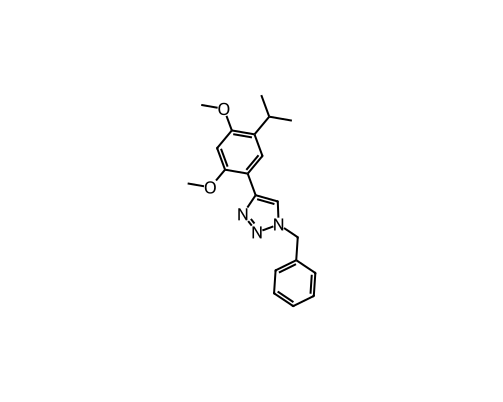 COc1cc(OC)c(C(C)C)cc1-c1cn(Cc2ccccc2)nn1